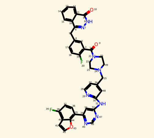 O=C(c1cc(Cc2n[nH]c(=O)c3ccccc23)ccc1F)N1CCN(Cc2ccnc(Nc3cc(-c4ccc(F)c5ccoc45)ncn3)c2)CC1